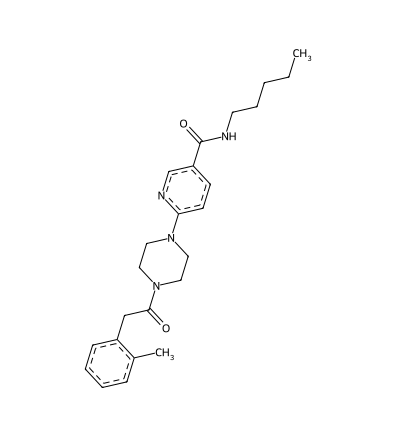 CCCCCNC(=O)c1ccc(N2CCN(C(=O)Cc3ccccc3C)CC2)nc1